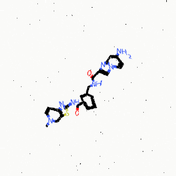 CN1CCc2nc(NC(=O)c3cccc(CNC(=O)c4cn5ccc(N)cc5n4)c3)sc2C1